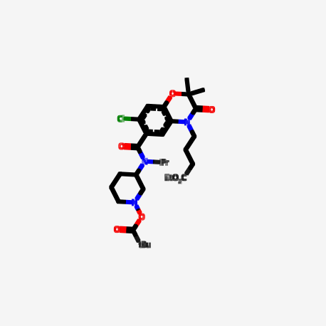 CCOC(=O)CCCN1C(=O)C(C)(C)Oc2cc(Cl)c(C(=O)N(C(C)C)C3CCCN(OC(=O)C(C)(C)C)C3)cc21